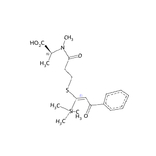 C[C@@H](C(=O)O)N(C)C(=O)CCS/C(=C/C(=O)c1ccccc1)[Si](C)(C)C